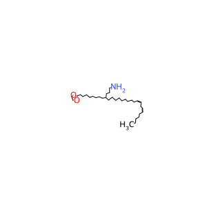 CCCCC/C=C\C/C=C\CCCCCCCCCC(CCCN)CCCCCCCCC1OCCO1